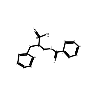 O=C(SCC(Cc1ccccc1)C(=O)O)c1ccccc1